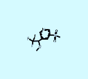 COC(c1cncc(S(C)(=O)=O)c1)C(F)(F)F